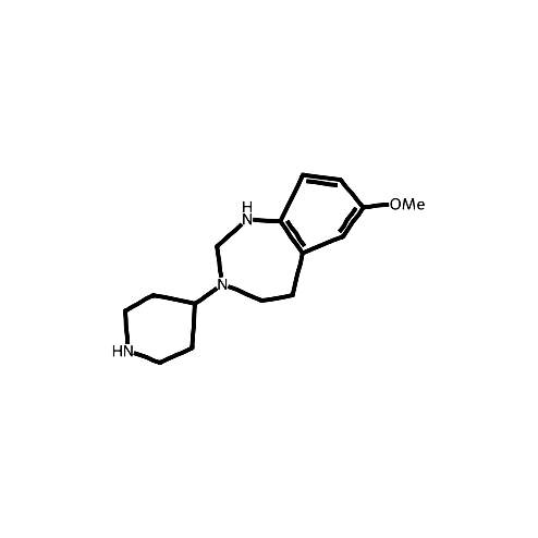 COc1ccc2c(c1)CCN(C1CCNCC1)CN2